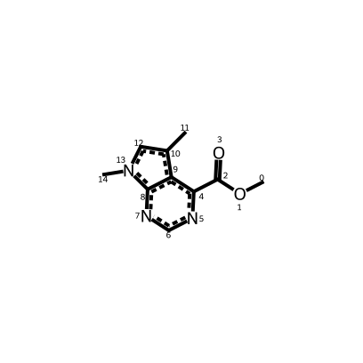 COC(=O)c1ncnc2c1c(C)cn2C